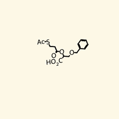 CC(=O)SCCC(=O)OC(COCc1ccccc1)C(=O)O